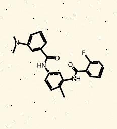 Cc1ccc(NC(=O)c2cccc(N(C)C)c2)cc1NC(=O)c1ccccc1F